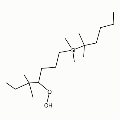 CCCCC(C)(C)[Si](C)(C)CCCC(OO)C(C)(C)CC